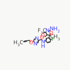 CC#CCOc1cnc(C(=O)Nc2ccc(F)c(C3(C)OC(N)=NC4(C(F)(F)F)COCC34)c2)cn1